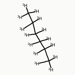 [2H]C([2H])([2H])C([2H])([2H])C([2H])([2H])C([2H])([2H])C([2H])([2H])C([2H])([2H])[2H]